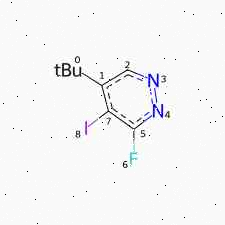 CC(C)(C)c1cnnc(F)c1I